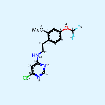 COc1cc(OC(F)F)ccc1CCNc1cc(Cl)ncn1